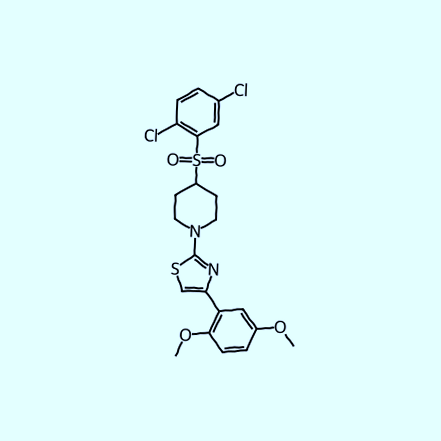 COc1ccc(OC)c(-c2csc(N3CCC(S(=O)(=O)c4cc(Cl)ccc4Cl)CC3)n2)c1